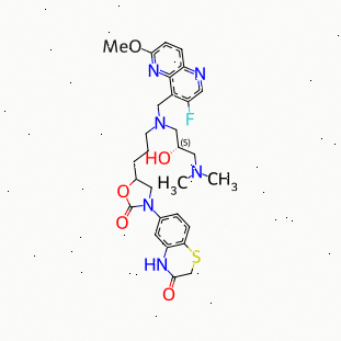 COc1ccc2ncc(F)c(CN(CCCC3CN(c4ccc5c(c4)NC(=O)CS5)C(=O)O3)C[C@@H](O)CN(C)C)c2n1